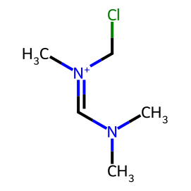 CN(C)C=[N+](C)CCl